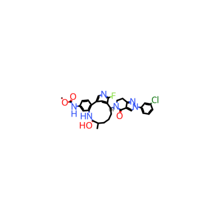 COC(=O)Nc1ccc2c(c1)NC(O)C(C)CCC[C@H](N1CCc3nn(-c4cccc(Cl)c4)cc3C1=O)c1cc-2cnc1F